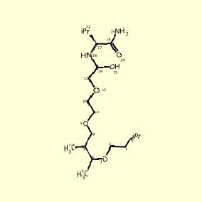 CC(C)CCOC(C)C(C)COCCOCC(O)N[C@H](C(N)=O)C(C)C